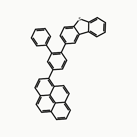 c1ccc(-c2cc(-c3ccc4ccc5cccc6ccc3c4c56)ccc2-c2ccc3sc4ccccc4c3c2)cc1